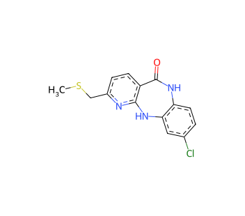 CSCc1ccc2c(n1)Nc1cc(Cl)ccc1NC2=O